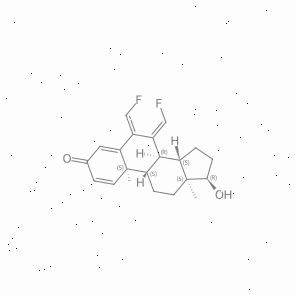 C[C@]12CC[C@H]3[C@@H](C(=CF)C(=CF)C4=CC(=O)C=C[C@@]43C)[C@@H]1CC[C@H]2O